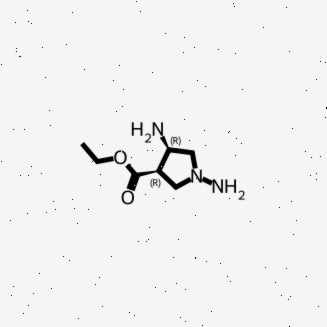 CCOC(=O)[C@@H]1CN(N)C[C@@H]1N